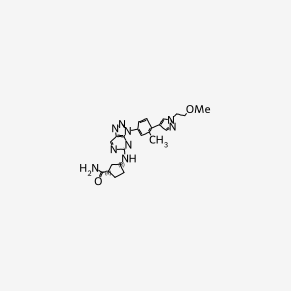 COCCn1cc(-c2ccc(-n3nnc4cnc(N[C@@H]5CC[C@@H](C(N)=O)C5)nc43)cc2C)cn1